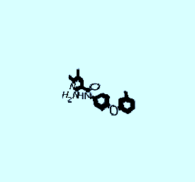 Cc1cccc(Oc2ccc(NC(=O)c3cc(C)c(C)nc3N)cc2)c1